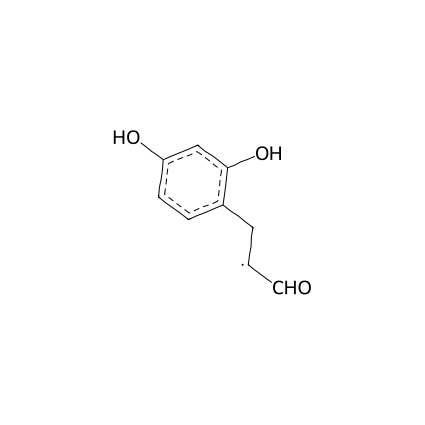 O=C[CH]Cc1ccc(O)cc1O